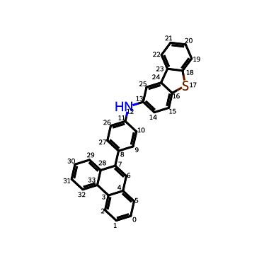 c1ccc2c(c1)cc(-c1ccc(Nc3ccc4sc5ccccc5c4c3)cc1)c1ccccc12